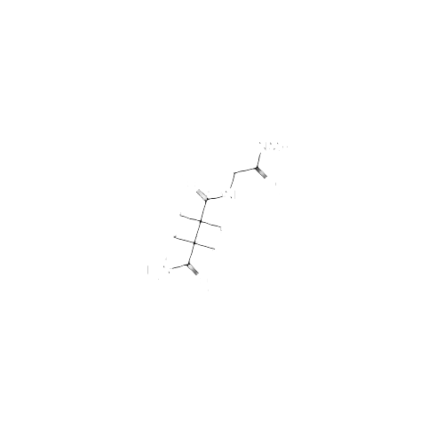 CNC(=O)CNC(=O)C(C)(C)C(C)(C)C(N)=O